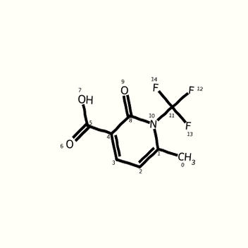 Cc1ccc(C(=O)O)c(=O)n1C(F)(F)F